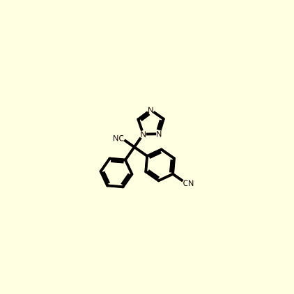 N#Cc1ccc(C(C#N)(c2ccccc2)n2cncn2)cc1